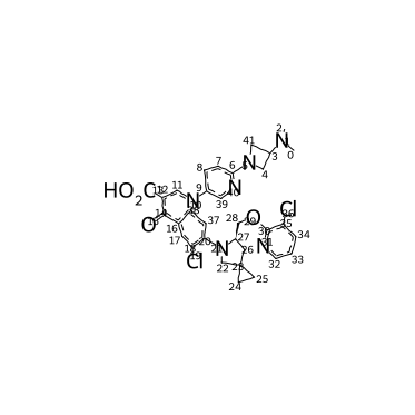 CN(C)C1CN(c2ccc(-n3cc(C(=O)O)c(=O)c4cc(Cl)c(N5CC6(CC6)C[C@@H]5COc5ncccc5Cl)cc43)cn2)C1